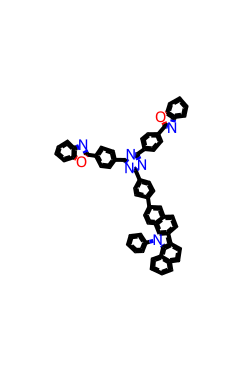 c1ccc(-n2c3c4ccccc4ccc3c3ccc4cc(-c5ccc(-c6nc(-c7ccc(-c8nc9ccccc9o8)cc7)nc(-c7ccc(-c8nc9ccccc9o8)cc7)n6)cc5)ccc4c32)cc1